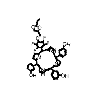 CCC1OCC(COc2c(F)c(F)c(-c3c4nc(c(-c5cccc(O)c5)c5ccc([nH]5)c(-c5cccc(O)c5)c5nc(c(-c6cccc(O)c6)c6ccc3[nH]6)C=C5)C=C4)c(F)c2F)O1